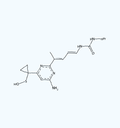 CCCNC(=O)N/C=C/C=C(\C)c1nc(N)cc(C2(SO)CC2)n1